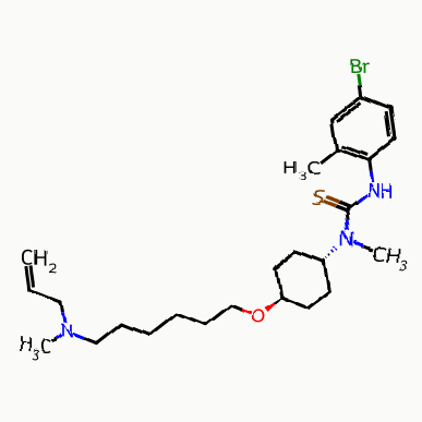 C=CCN(C)CCCCCCO[C@H]1CC[C@H](N(C)C(=S)Nc2ccc(Br)cc2C)CC1